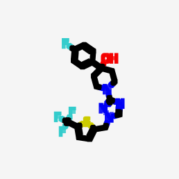 OC1(c2ccc(F)cc2)CCN(c2ncn(Cc3ccc(C(F)(F)F)s3)n2)CC1